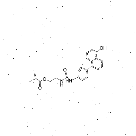 C=C(C)C(=O)OCCNC(=O)Nc1ccc(-c2cccc3c(O)cccc23)cc1